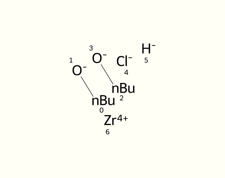 CCCC[O-].CCCC[O-].[Cl-].[H-].[Zr+4]